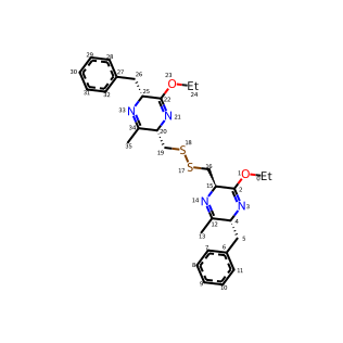 CCOC1=N[C@H](Cc2ccccc2)C(C)=N[C@H]1CSSC[C@H]1N=C(OCC)[C@@H](Cc2ccccc2)N=C1C